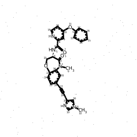 CN1C(=O)[C@@H](NC(=O)c2cc(Oc3ccccc3)ccn2)COc2ccc(C#Cc3cn(C)cn3)cc21